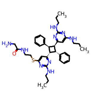 CCCNc1cc([C@H]2[C@H](c3ccccc3)[C@H](c3cc(SCCNC(=O)CN)nc(NCCC)n3)[C@H]2c2ccccc2)nc(NCCC)n1